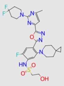 Cc1cc(-c2nnc(-c3cc(F)c(NS(=O)(=O)CCO)cc3N3CCC4(CC3)CC4)o2)nc(N2CCC(F)(F)CC2)n1